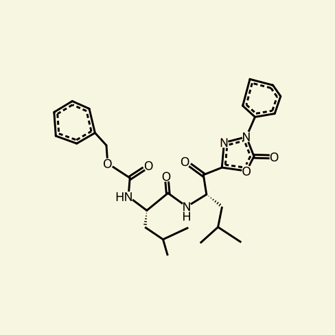 CC(C)C[C@H](NC(=O)OCc1ccccc1)C(=O)N[C@@H](CC(C)C)C(=O)c1nn(-c2ccccc2)c(=O)o1